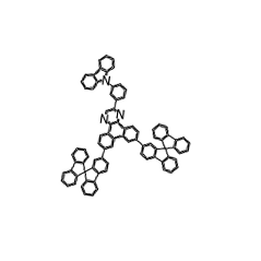 c1cc(-c2cnc3c4ccc(-c5ccc6c(c5)C5(c7ccccc7-c7ccccc75)c5ccccc5-6)cc4c4cc(-c5ccc6c(c5)C5(c7ccccc7-c7ccccc75)c5ccccc5-6)ccc4c3n2)cc(-n2c3ccccc3c3ccccc32)c1